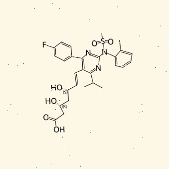 Cc1ccccc1N(c1nc(-c2ccc(F)cc2)c(C=C[C@@H](O)C[C@@H](O)CC(=O)O)c(C(C)C)n1)S(C)(=O)=O